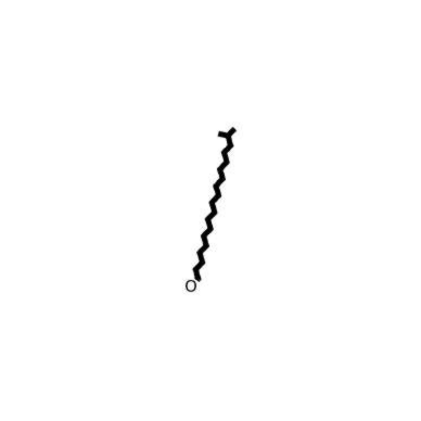 CC(C)CCCCCCCCCCCCCCCCC=O